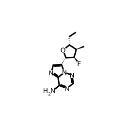 CC[C@H]1O[C@@H](c2cnc3c(N)ncnn23)[C@H](F)[C@@H]1C